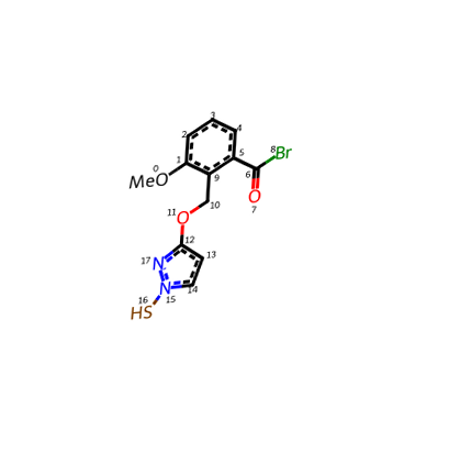 COc1cccc(C(=O)Br)c1COc1ccn(S)n1